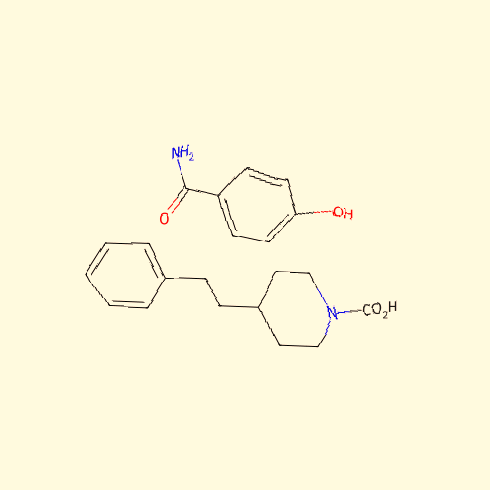 NC(=O)c1ccc(O)cc1.O=C(O)N1CCC(CCc2ccccc2)CC1